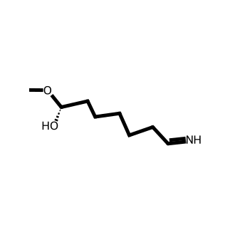 CO[C@@H](O)CCCCCC=N